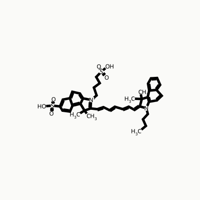 CCCCN1/C(=C/C=C/C=C/C=C/C2=[N+](CCCCS(=O)(=O)O)c3ccc4cc(S(=O)(=O)O)ccc4c3C2(C)C)C(C)(C)c2c1ccc1ccccc21